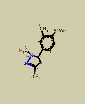 COc1ccc(C2CC(C(F)(F)F)=NN2C)cc1C